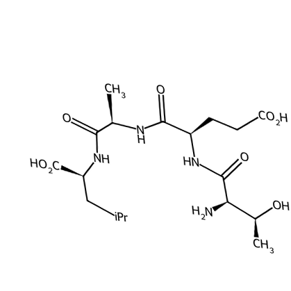 CC(C)C[C@H](NC(=O)[C@@H](C)NC(=O)[C@@H](CCC(=O)O)NC(=O)[C@H](N)[C@H](C)O)C(=O)O